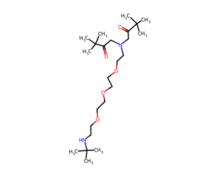 CC(C)(C)NCCOCCOCCOCCN(CC(=O)C(C)(C)C)CC(=O)C(C)(C)C